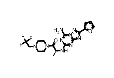 C[C@H](Nc1nc(N)n2nc(-c3ccco3)nc2n1)C(=O)N1CCN(CC(F)(F)F)CC1